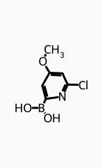 COc1cc(Cl)nc(B(O)O)c1